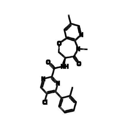 Cc1cnc2c(c1)OC[C@H](NC(=O)c1ncc(Cl)c(-c3ccccc3C)n1)C(=O)N2C